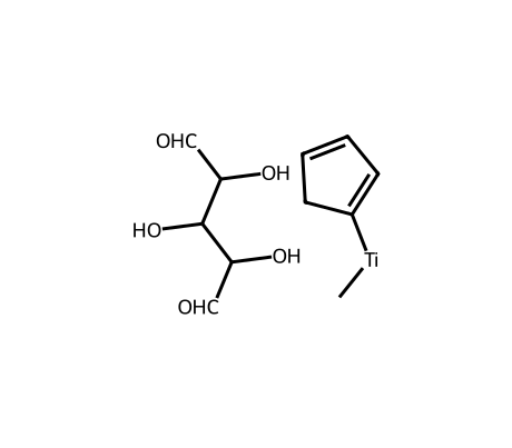 O=CC(O)C(O)C(O)C=O.[CH3][Ti][C]1=CC=CC1